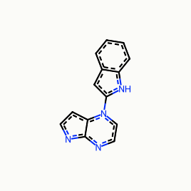 c1ccc2[nH]c(-n3ccnc4nccc3-4)cc2c1